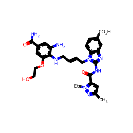 CCn1nc(C)cc1C(=O)Nc1nc2cc(C(=O)O)ccc2n1C/C=C/CNc1c(N)cc(C(N)=O)cc1OCCO